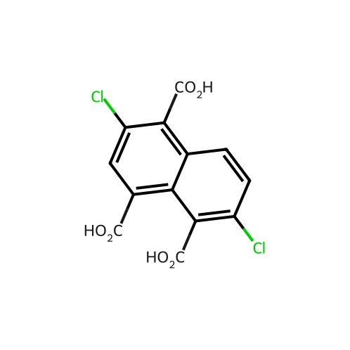 O=C(O)c1c(Cl)cc(C(=O)O)c2c(C(=O)O)c(Cl)ccc12